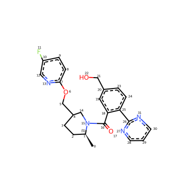 C[C@H]1CCC(COc2ccc(F)cn2)CN1C(=O)c1cc(CO)ccc1-c1ncccn1